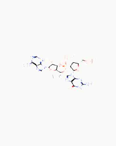 C[C@@H](OP(=O)(O)[C@@H]1[C@H](F)[C@@H](CO)O[C@H]1n1cnc2c(=O)[nH]c(N)nc21)C1O[C@@H](n2cnc3c(N)ncnc32)[C@H](O)[C@@H]1O